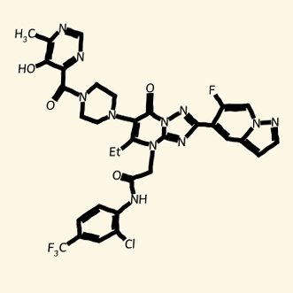 CCc1c(N2CCN(C(=O)c3ncnc(C)c3O)CC2)c(=O)n2nc(-c3cc4ccnn4cc3F)nc2n1CC(=O)Nc1ccc(C(F)(F)F)cc1Cl